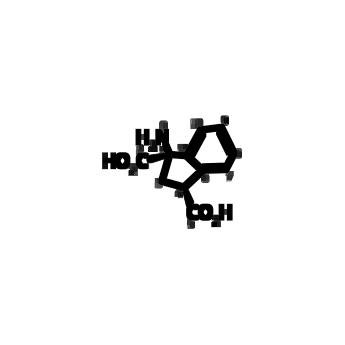 N[C@@]1(C(=O)O)C[C@H](C(=O)O)c2ccccc21